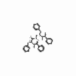 O=C(N[C@H](COC(=O)[C@H](Cc1ccccc1)NC(=O)c1ccccc1)Cc1ccccc1)c1ccccc1